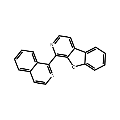 c1ccc2c(-c3nccc4c3oc3ccccc34)nccc2c1